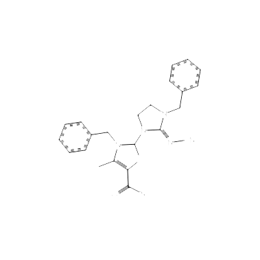 CC1=C(C(N)=O)SC(N2CCN(Cc3ccccc3)C2=NC#N)N1Cc1ccccc1